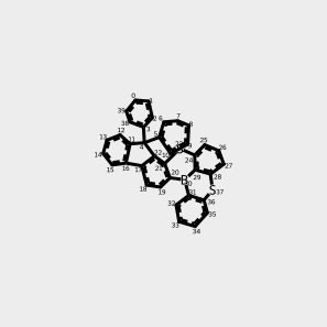 c1ccc(C2(c3ccccc3)c3ccccc3-c3ccc4c(c32)Sc2cccc3c2B4c2ccccc2S3)cc1